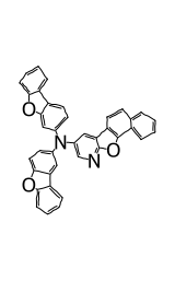 c1ccc2c(c1)ccc1c3cc(N(c4ccc5c(c4)oc4ccccc45)c4ccc5oc6ccccc6c5c4)cnc3oc21